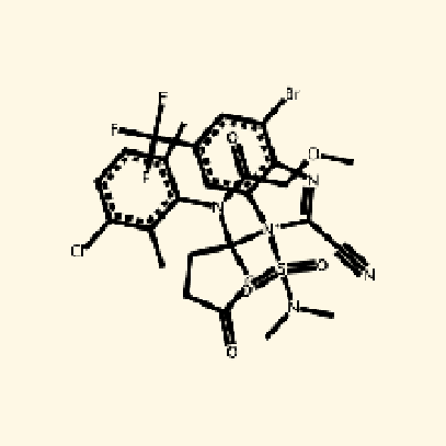 COCC(=O)N(c1c(C)ccc(Cl)c1C)C1([N+]2(S(=O)(=O)N(C)C)C(C#N)=Nc3c(Br)cc(C(F)(F)F)cc32)CCC(=O)O1